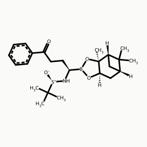 CC1(C)[C@@H]2C[C@H]3OB([C@H](CCC(=O)c4ccccc4)N[S@+]([O-])C(C)(C)C)O[C@@]3(C)[C@H]1C2